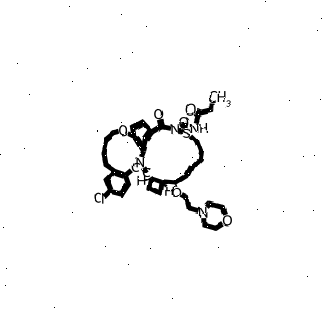 CCC(=O)NS1(=O)=NC(=O)c2ccc3c(c2)N(Cc2ccc(Cl)cc2CCCCO3)C[C@@H]2CC[C@H]2[C@@H](OCCN2CCOCC2)/C=C/CCC1